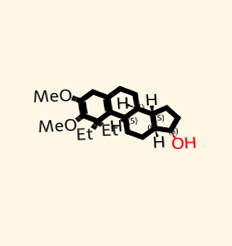 CCC1(CC)C(OC)=C(OC)CC2=C1[C@H]1CC[C@H]3[C@@H](CC[C@@H]3O)[C@@H]1CC2